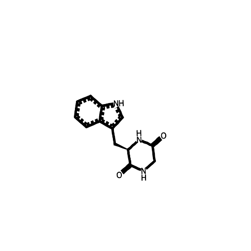 O=C1CNC(=O)[C@@H](Cc2c[nH]c3ccccc23)N1